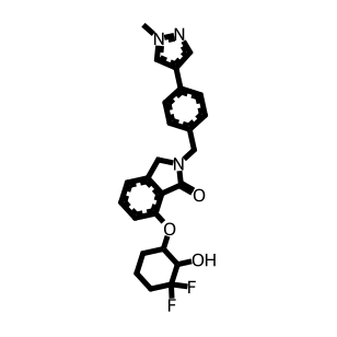 Cn1cc(-c2ccc(CN3Cc4cccc(OC5CCCC(F)(F)C5O)c4C3=O)cc2)cn1